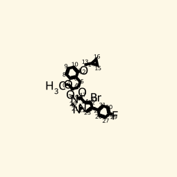 COC(=O)C(Cc1ccccc1OCC1CC1)Oc1ncnn2cc(-c3ccc(F)cc3)c(Br)c12